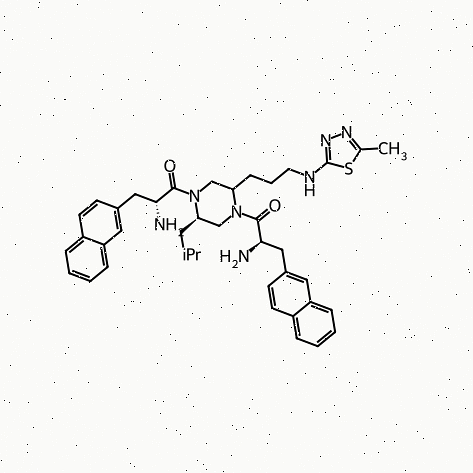 Cc1nnc(NCCCC2CN(C(=O)[C@H](N)Cc3ccc4ccccc4c3)[C@H](CC(C)C)CN2C(=O)[C@H](N)Cc2ccc3ccccc3c2)s1